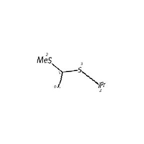 [CH2]C(SC)SC(C)C